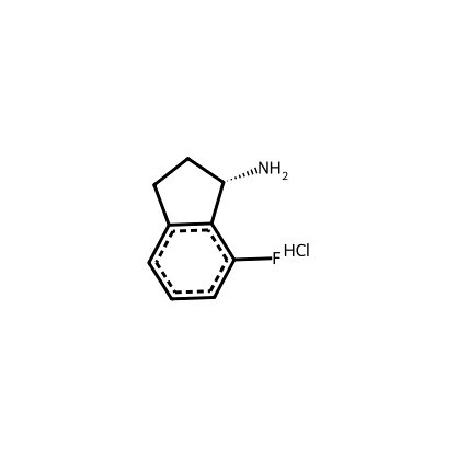 Cl.N[C@H]1CCc2cccc(F)c21